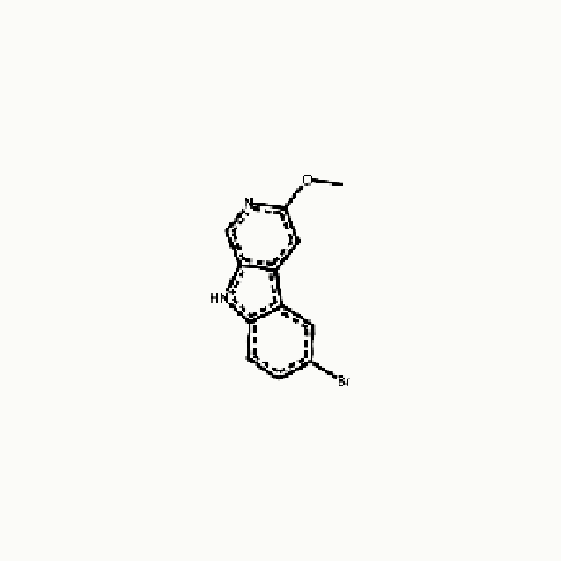 COc1cc2c(cn1)[nH]c1ccc(Br)cc12